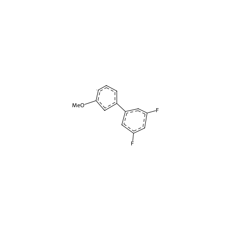 COc1[c]ccc(-c2cc(F)cc(F)c2)c1